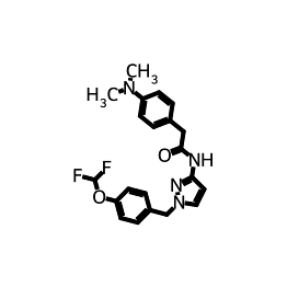 CN(C)c1ccc(CC(=O)Nc2ccn(Cc3ccc(OC(F)F)cc3)n2)cc1